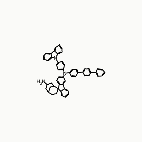 NC1CC2CCC3(c4ccccc4-c4cc(N(c5ccc(-c6ccc(-c7ccccc7)cc6)cc5)c5ccc(-n6c7ccccc7c7ccccc76)cc5)ccc43)C(C1)C2